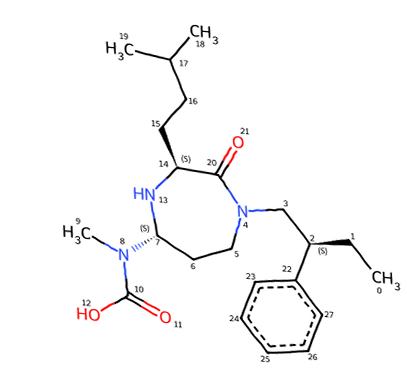 CC[C@H](CN1CC[C@H](N(C)C(=O)O)N[C@@H](CCC(C)C)C1=O)c1ccccc1